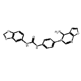 NC1c2ccoc2N=CN1c1ccc(NC(=O)Nc2ccc3c(c2)OCO3)cc1